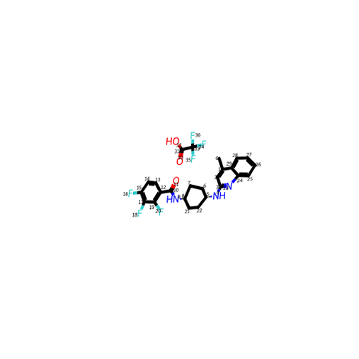 Cc1cc(N[C@H]2CC[C@@H](NC(=O)c3ccc(F)c(F)c3F)CC2)nc2ccccc12.O=C(O)C(F)(F)F